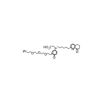 CC(C)CCOCCOCCOCCn1cc([C@@H](CCCCCCc2ccc3c(n2)NCCC3)CC(=O)O)ccc1=O